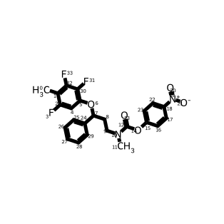 Cc1c(F)cc(OC(CCN(C)C(=O)Oc2ccc([N+](=O)[O-])cc2)c2ccccc2)c(F)c1F